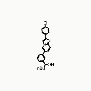 CCCCC(O)c1cccc(-c2ccc3nc(-c4ccc(Cl)cc4)cn3c2)c1